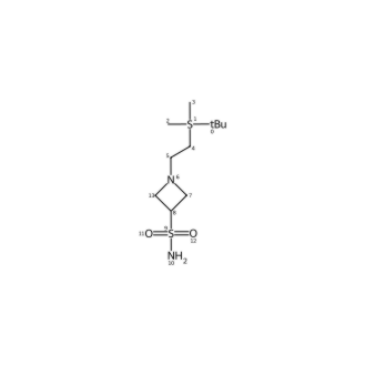 CC(C)(C)S(C)(C)CCN1CC(S(N)(=O)=O)C1